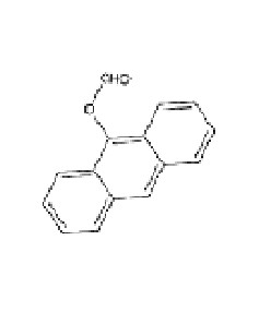 O=[C]Oc1c2ccccc2cc2ccccc12